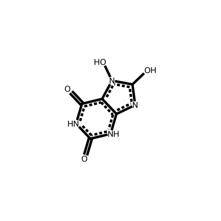 O=c1[nH]c(=O)c2c(nc(O)n2O)[nH]1